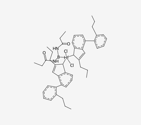 CCCC1=Cc2c(-c3ccccc3CCC)cccc2[CH]1[Hf]([Cl])([Cl])([B](NC(=O)CC)NC(=O)CC)[CH]1C(CCC)=Cc2c(-c3ccccc3CCC)cccc21